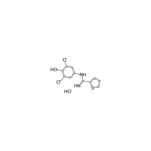 Cl.N=C(Nc1cc(Cl)c(O)c(Cl)c1)c1cccs1